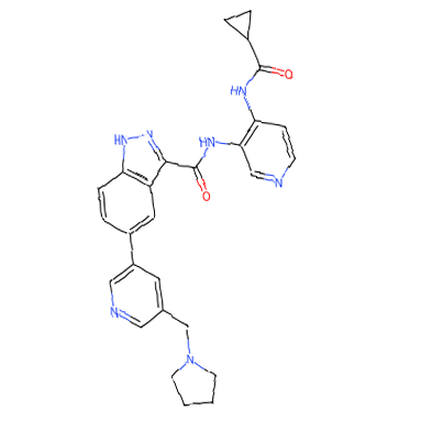 O=C(Nc1cnccc1NC(=O)C1CC1)c1n[nH]c2ccc(-c3cncc(CN4CCCC4)c3)cc12